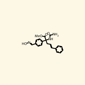 COC(=O)C(CC=Cc1ccccc1)(NC(N)=O)c1ccc(C=NO)cc1